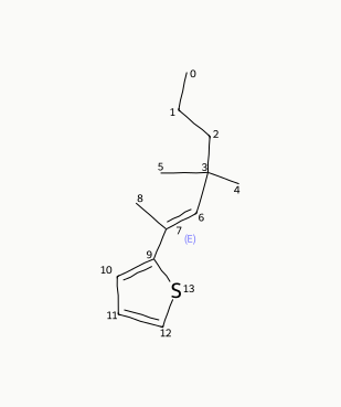 CCCC(C)(C)/C=C(\C)c1cccs1